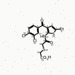 CCc1cc(C(=O)c2ccc(Cl)c(Cl)c2)c(NC(=O)CSCC(=O)O)s1